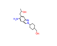 CC(O)Cc1cc2nn(C3CCC(CO)CC3)cc2cc1N